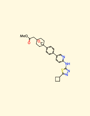 COC(=O)CC12CCC(c3ccc(-c4ccc(Nc5nnc(C6CCC6)s5)nc4)cc3)(CC1)CO2